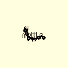 CC1(C)CC(NC(=O)OCN2C(=O)C(C)(C)N(Cl)C2(C)C)CC(C)(CNC(=O)NCc2ccc(C(=O)c3ccccc3)cc2)C1